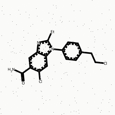 CCc1nc2cc(C(N)=O)c(Cl)cc2n1-c1ccc(CCCl)cc1